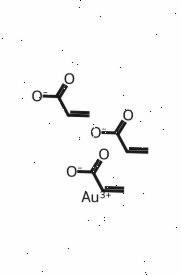 C=CC(=O)[O-].C=CC(=O)[O-].C=CC(=O)[O-].[Au+3]